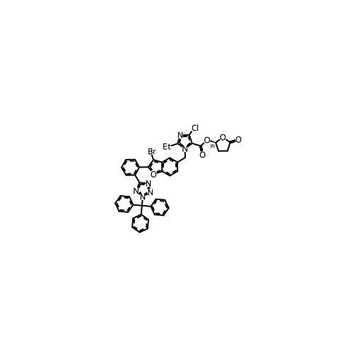 CCc1nc(Cl)c(C(=O)O[C@@H]2CCC(=O)O2)n1Cc1ccc2oc(-c3ccccc3-c3nnn(C(c4ccccc4)(c4ccccc4)c4ccccc4)n3)c(Br)c2c1